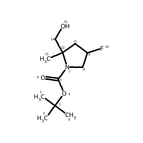 CC(C)(C)OC(=O)N1CC(F)CC1(C)CO